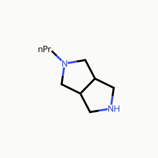 CCCN1CC2CNCC2C1